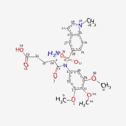 COc1cc(N(C(=O)[C@@H](N)CCC(=O)O)S(=O)(=O)c2ccc3c(ccn3C)c2)cc(OC)c1OC